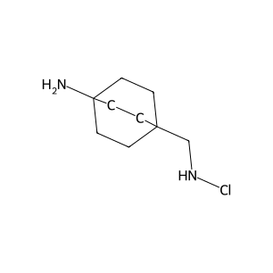 NC12CCC(CNCl)(CC1)CC2